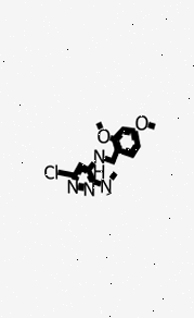 COc1ccc(CNc2cc(Cl)nnc2N(C)C)c(OC)c1